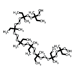 CCC(C)(OO)OOC(C)(CC)OOOC(C)(CC)OOOC(C)(CC)OOC(C)(CC)OOC(C)(CC)OOOC(C)(CC)OOC(C)(CC)OO